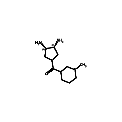 CN1CCCC(C(=O)N2C[C@@H](N)[C@@H](N)C2)C1